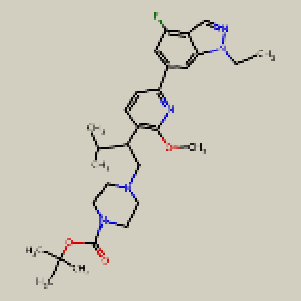 CCn1ncc2c(F)cc(-c3ccc(C(CN4CCN(C(=O)OC(C)(C)C)CC4)C(C)C)c(OC)n3)cc21